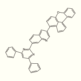 c1ccc(-c2cc(-c3ccccc3)nc(-c3ccc4cc(-c5ccc6c7c(cccc57)-c5ccccc5O6)cnc4c3)n2)cc1